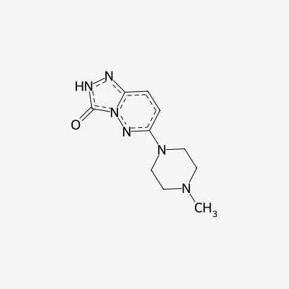 CN1CCN(c2ccc3n[nH]c(=O)n3n2)CC1